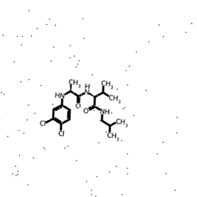 CC(C)CNC(=O)[C@@H](NC(=O)[C@H](C)Nc1ccc(Cl)c(Cl)c1)C(C)C